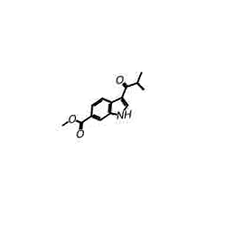 COC(=O)c1ccc2c(C(=O)C(C)C)c[nH]c2c1